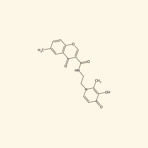 Cc1ccc2occ(C(=O)NCCn3ccc(=O)c(O)c3C)c(=O)c2c1